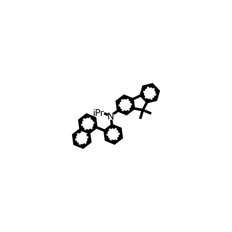 CC(C)N(c1ccc2c(c1)C(C)(C)c1ccccc1-2)c1ccccc1-c1cccc2ccccc12